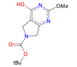 COc1nc(O)c2c(n1)CN(C(=O)OC(C)(C)C)C2